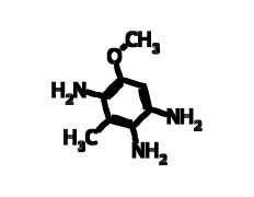 COc1cc(N)c(N)c(C)c1N